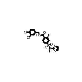 O=C(NCc1ccc(Cl)c(Cl)c1)c1ccc(S(=O)(=O)Nc2nccs2)cc1F